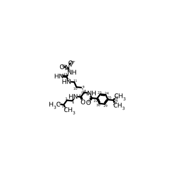 CC(C)CCNC(=O)[C@H](CCCNC(=N)N[N+](=O)[O-])NC(=O)c1ccc(C(C)C)cc1